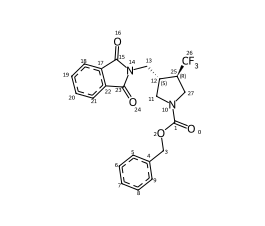 O=C(OCc1ccccc1)N1C[C@H](CN2C(=O)c3ccccc3C2=O)[C@@H](C(F)(F)F)C1